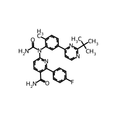 Cc1ccc(-c2ccnc(C(C)(C)C)n2)cc1N(C(N)=O)c1ccc(C(N)=O)c(-c2ccc(F)cc2)n1